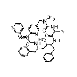 COc1ccc(CN(C)C(=O)N[C@H](C(=O)N[C@@H](Cc2ccccc2)[C@@H](O)C[C@H](Cc2ccccc2)NC(=O)OCc2cccnc2)C(C)C)cn1